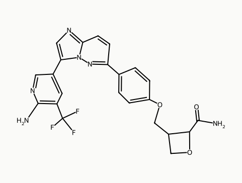 NC(=O)C1OCC1COc1ccc(-c2ccc3ncc(-c4cnc(N)c(C(F)(F)F)c4)n3n2)cc1